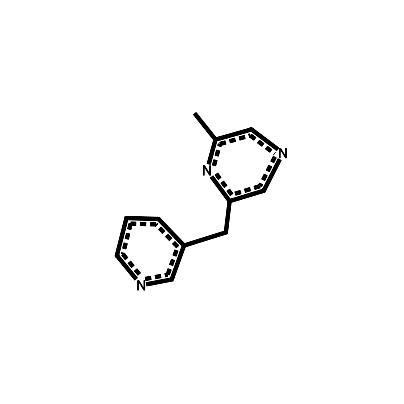 Cc1cncc(Cc2cccnc2)n1